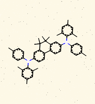 Cc1ccc(N(c2ccc3c(c2)C(C)(C)C(C)(C)c2cc(N(c4ccc(C)cc4)c4c(C)cc(C(C)(C)C)cc4C)ccc2-3)c2c(C)cc(C(C)(C)C)cc2C)cc1